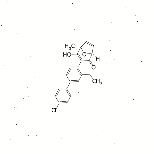 CCc1cc(-c2ccc(Cl)cc2)ccc1C1=C(O)[C@@]2(C)C=C[C@H](O2)C1=O